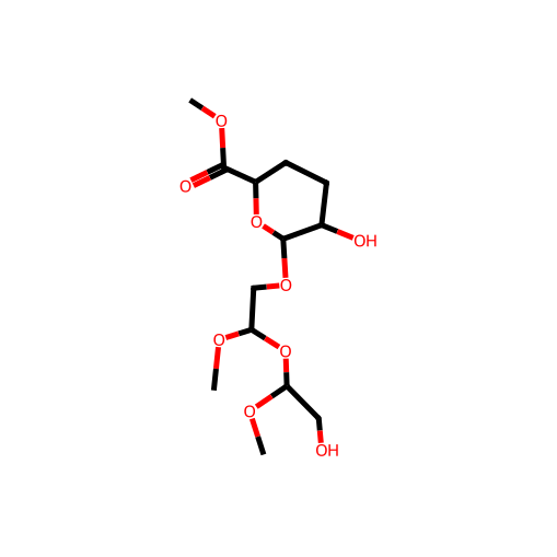 COC(=O)C1CCC(O)C(OCC(OC)OC(CO)OC)O1